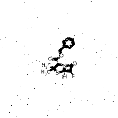 CC1(C)S[C@@H]2[C@H](F)C(=O)N2[C@H]1C(=O)OCc1ccccc1